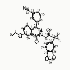 CCOc1ccc2c(-c3cccc(C#N)c3)nn(CC(=O)C3(c4ccc5c(c4)OCO5)CC3)c(=O)c2c1